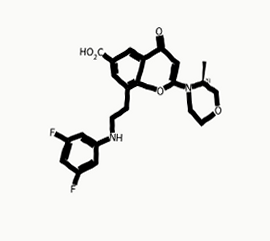 C[C@H]1COCCN1c1cc(=O)c2cc(C(=O)O)cc(CCNc3cc(F)cc(F)c3)c2o1